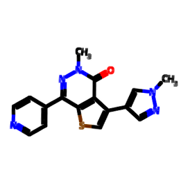 Cn1cc(-c2csc3c(-c4ccncc4)nn(C)c(=O)c23)cn1